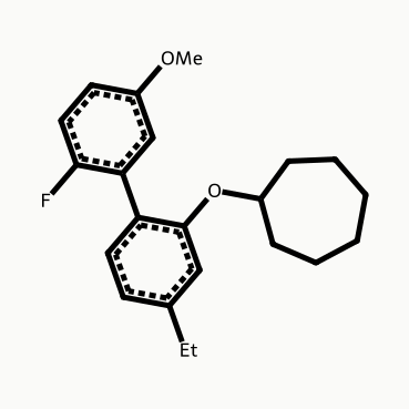 CCc1ccc(-c2cc(OC)ccc2F)c(OC2CCCCCC2)c1